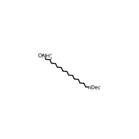 CCCCCCCCCCCCCCCCCCCCCCCCC[NH2+][O-]